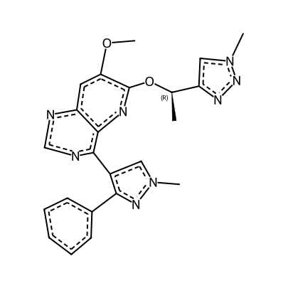 COc1cc2ncnc(-c3cn(C)nc3-c3ccccc3)c2nc1O[C@H](C)c1cn(C)nn1